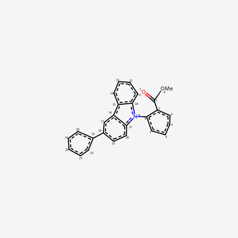 COC(=O)c1ccccc1-n1c2ccccc2c2cc(-c3ccccc3)ccc21